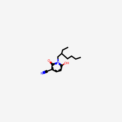 CCCCC(CC)Cn1c(O)ccc(C#N)c1=O